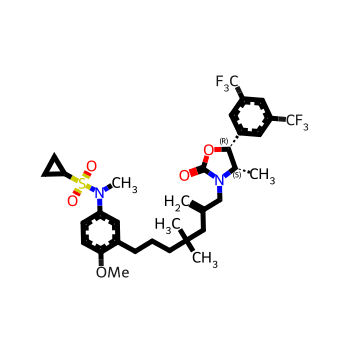 C=C(CN1C(=O)O[C@H](c2cc(C(F)(F)F)cc(C(F)(F)F)c2)[C@@H]1C)CC(C)(C)CCCc1cc(N(C)S(=O)(=O)C2CC2)ccc1OC